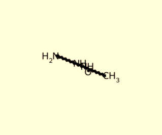 CCCCCCCCCC(=O)CCNCCCNCCCCCCCCCCN